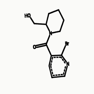 O=C(c1cccnc1Br)N1CCCCC1CO